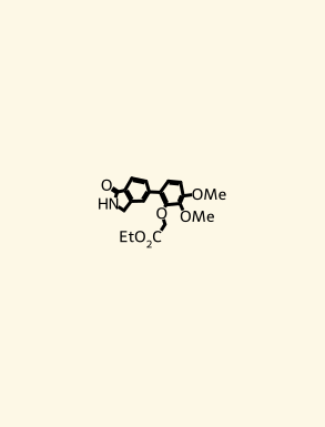 CCOC(=O)COc1c(-c2ccc3c(c2)CNC3=O)ccc(OC)c1OC